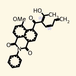 C=C/C=C\C(C(=O)c1ccc2c3c(ccc(OC)c13)C(=O)N(c1ccccc1)C2=O)=C(/C)O